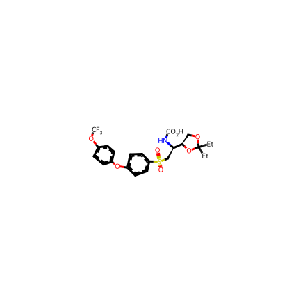 CCC1(CC)OC[C@H]([C@@H](CS(=O)(=O)c2ccc(Oc3ccc(OC(F)(F)F)cc3)cc2)NC(=O)O)O1